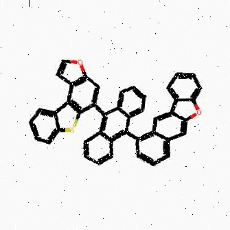 c1cc(-c2c3ccccc3c(-c3cc4occc4c4c3sc3ccccc34)c3ccccc23)c2cc3c(cc2c1)oc1ccccc13